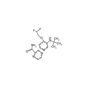 CC(C)(C)Nc1cnccc1OCC(F)F.NC(=O)c1cnccn1